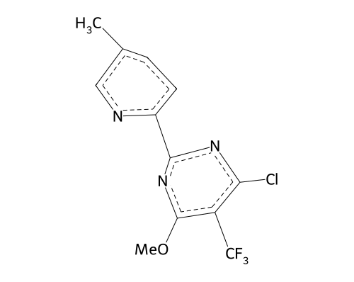 COc1nc(-c2ccc(C)cn2)nc(Cl)c1C(F)(F)F